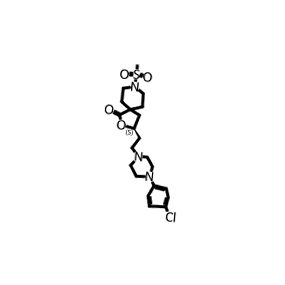 CS(=O)(=O)N1CCC2(CC1)C[C@@H](CCN1CCN(c3ccc(Cl)cc3)CC1)OC2=O